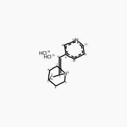 C(=C1CC2CCN1CC2)c1cccnc1.Cl.Cl